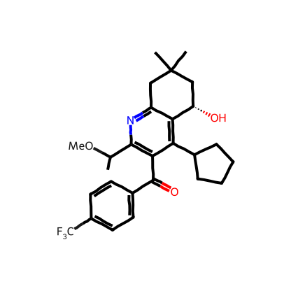 COC(C)c1nc2c(c(C3CCCC3)c1C(=O)c1ccc(C(F)(F)F)cc1)[C@@H](O)CC(C)(C)C2